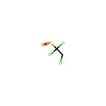 O=PC(Cl)(Cl)CCl